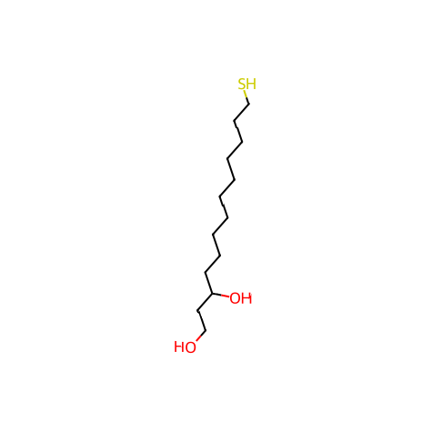 OCCC(O)CCCCCCCCCCS